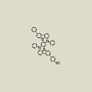 CC(C)c1ccc(-c2ccc3c(c2)-c2cccc4c2B3c2cc3c(cc2N4c2ccccc2)B2c4ccc(-c5ccccc5)cc4-c4cccc(c42)N3c2ccccc2)cc1